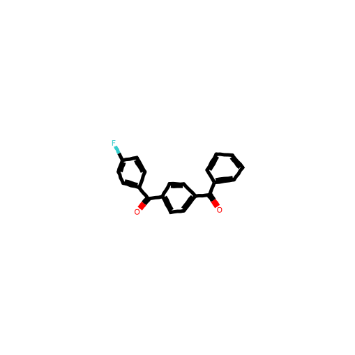 O=C(c1ccccc1)c1ccc(C(=O)c2ccc(F)cc2)cc1